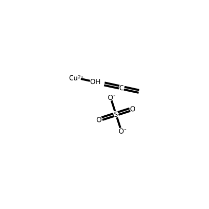 C=C=C.O=S(=O)([O-])[O-].[OH][Cu+2]